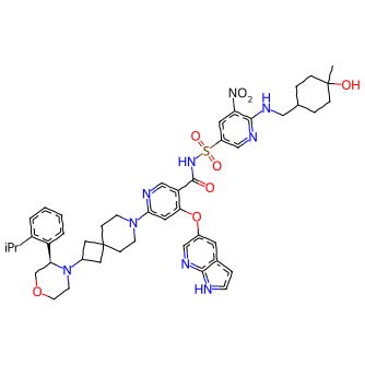 CC(C)c1ccccc1[C@@H]1COCCN1C1CC2(CCN(c3cc(Oc4cnc5[nH]ccc5c4)c(C(=O)NS(=O)(=O)c4cnc(NCC5CCC(C)(O)CC5)c([N+](=O)[O-])c4)cn3)CC2)C1